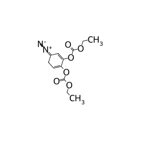 CCOC(=O)OC1=CCC(=[N+]=[N-])C=C1OC(=O)OCC